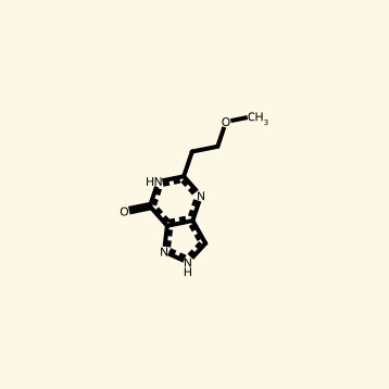 COCCc1nc2c[nH]nc2c(=O)[nH]1